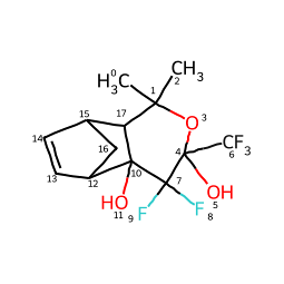 CC1(C)OC(O)(C(F)(F)F)C(F)(F)C2(O)C3C=CC(C3)C12